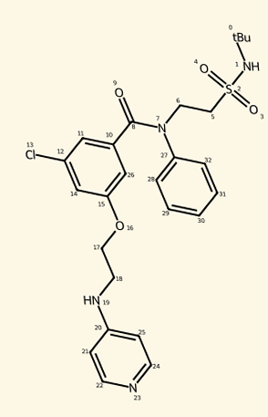 CC(C)(C)NS(=O)(=O)CCN(C(=O)c1cc(Cl)cc(OCCNc2ccncc2)c1)c1ccccc1